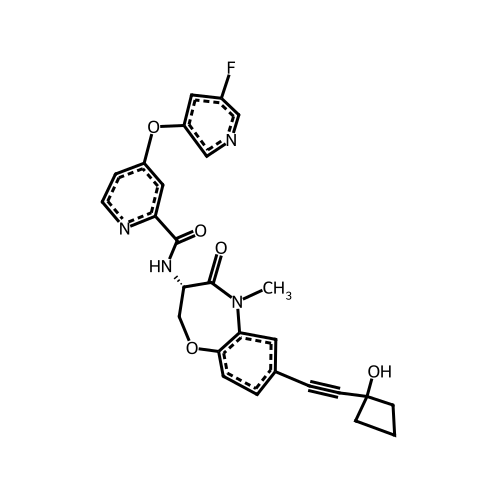 CN1C(=O)[C@@H](NC(=O)c2cc(Oc3cncc(F)c3)ccn2)COc2ccc(C#CC3(O)CCC3)cc21